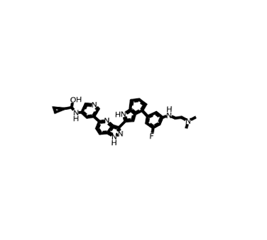 CN(C)CCNc1cc(F)cc(-c2cccc3[nH]c(-c4n[nH]c5ccc(-c6cncc(NC(O)C7CC7)c6)nc45)cc23)c1